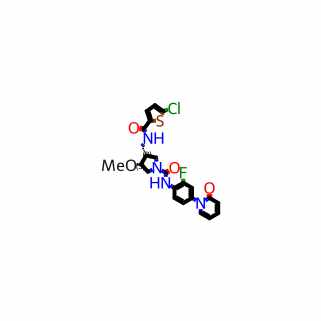 CO[C@@H]1CN(C(=O)Nc2ccc(-n3ccccc3=O)cc2F)C[C@H]1CNC(=O)c1ccc(Cl)s1